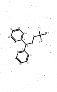 FC(F)(F)CCC(c1ccccc1)c1ccccc1